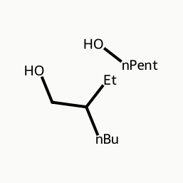 CCCCC(CC)CO.CCCCCO